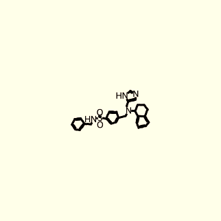 O=S(=O)(NCc1ccccc1)c1ccc(CN(Cc2cnc[nH]2)C2CCCc3ccccc32)cc1